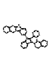 c1ccc2cc3c(cc2c1)sc1ccc(-n2c4ccccc4c4c5ccc6ccccc6c5c5ccccc5c42)cc13